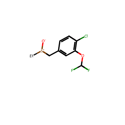 CC[S+]([O-])Cc1ccc(Cl)c(OC(F)F)c1